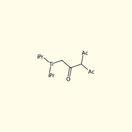 CC(=O)C(C(C)=O)C(=O)[CH2][Ti]([CH](C)C)[CH](C)C